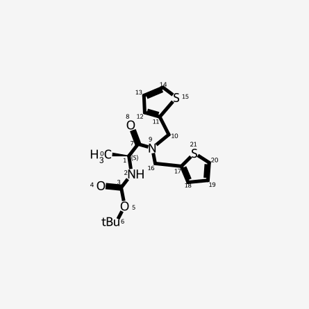 C[C@H](NC(=O)OC(C)(C)C)C(=O)N(Cc1cccs1)Cc1cccs1